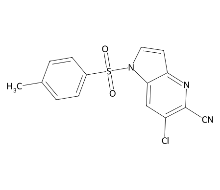 Cc1ccc(S(=O)(=O)n2ccc3nc(C#N)c(Cl)cc32)cc1